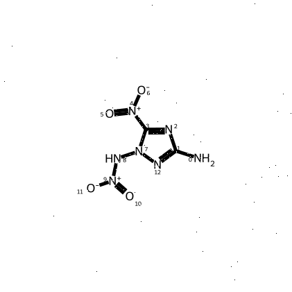 Nc1nc([N+](=O)[O-])n(N[N+](=O)[O-])n1